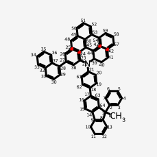 CC1(c2ccccc2)C2=C(CCC=C2)c2ccc(-c3ccc(N(c4cccc(-c5cccc6ccccc56)c4)C4CC=CC=C4c4cccc5cccc(-c6ccccc6)c45)cc3)cc21